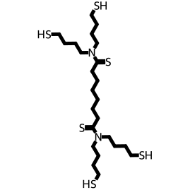 S=C(CCCCCCC(=S)N(CCCCS)CCCCS)N(CCCCS)CCCCS